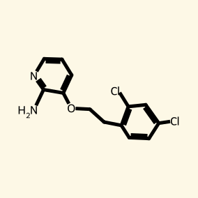 Nc1ncccc1OCCc1ccc(Cl)cc1Cl